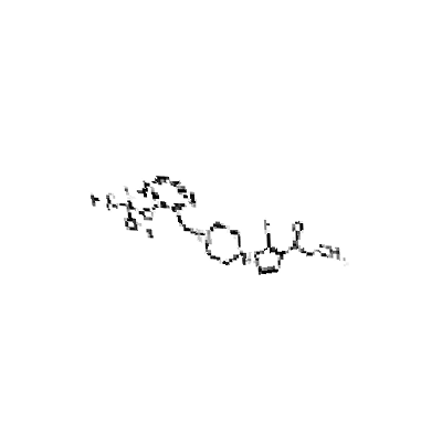 CCC(=O)C1=C(F)[SH](C2CCN(Cc3nccnc3OC(C)(C)C)CC2)C=C1